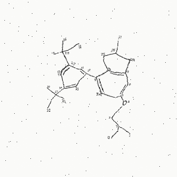 CC(C)COc1cc2c(c(-c3cc(C(C)(C)C)cc(C(C)(C)C)c3)c1)CC(C)C2